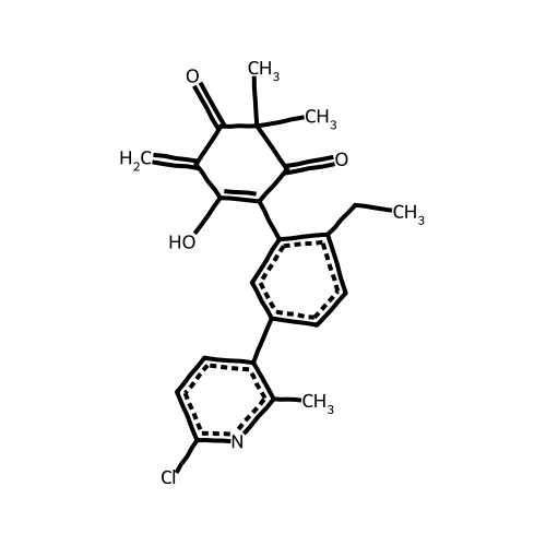 C=C1C(=O)C(C)(C)C(=O)C(c2cc(-c3ccc(Cl)nc3C)ccc2CC)=C1O